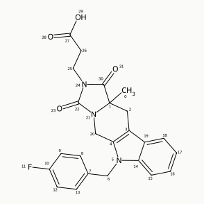 CC12Cc3c(n(Cc4ccc(F)cc4)c4ccccc34)CN1C(=O)N(CCC(=O)O)C2=O